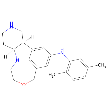 Cc1ccc(C)c(Nc2cc3c4c(c2)[C@@H]2CNCC[C@@H]2N4CCOC3)c1